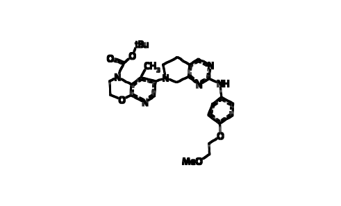 COCCOc1ccc(Nc2ncc3c(n2)CN(c2cnc4c(c2C)N(C(=O)OC(C)(C)C)CCO4)CC3)cc1